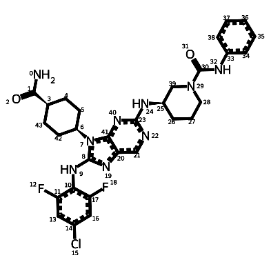 NC(=O)[C@H]1CC[C@@H](n2c(Nc3c(F)cc(Cl)cc3F)nc3cnc(N[C@@H]4CCCN(C(=O)Nc5ccccc5)C4)nc32)CC1